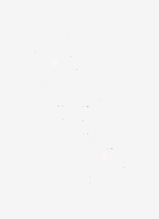 CC1(C)c2cc(N(c3ccccc3)c3cccc4c3oc3c(-c5ccccc5)cccc34)ccc2-c2c(-c3ccccc3)c3ccc(N(c4ccccc4)c4cccc5c4oc4c(-c6ccccc6)cccc45)cc3c3cccc1c23